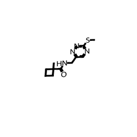 CSc1ncc(CNC(=O)C2(C)CCC2)nn1